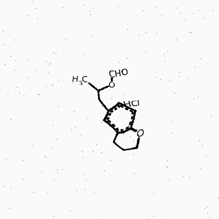 CC(Cc1ccc2c(c1)CCCO2)OC=O.Cl